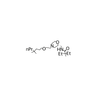 CCCC(C)(C)CCCOCCN1CCO[C@H](CNC(=O)C(C)(CC)CC)C1